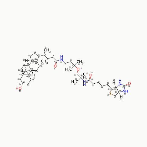 CC(CCC(=O)NCCC(C)(C)OCC(C)(C)NC(=O)CCCC[C@@H]1SC[C@@H]2NC(=O)N[C@@H]21)C1CC[C@H]2C3CC=C4C[C@@H](O)CC[C@]4(C)[C@H]3CC[C@]12C